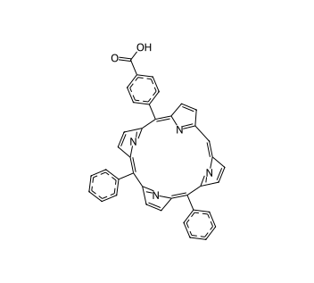 O=C(O)c1ccc(C2=C3C=CC(=N3)C=C3C=CC(=N3)C(c3ccccc3)=C3C=CC(=N3)C(c3ccccc3)=C3C=CC2=N3)cc1